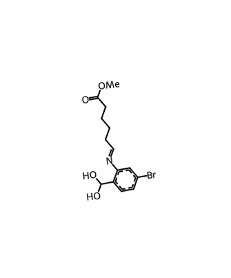 COC(=O)CCCC/C=N/c1cc(Br)ccc1C(O)O